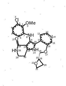 COc1c(Cl)cccc1Nc1c(-c2ccncc2OC[C@@H]2CCO2)[nH]c2c1C(=O)NCC2